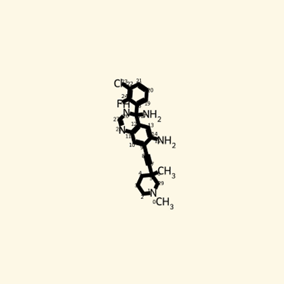 CN1CCCC(C)(C#Cc2cc3c(cc2N)C(N)(c2cccc(Cl)c2F)NC=N3)C1